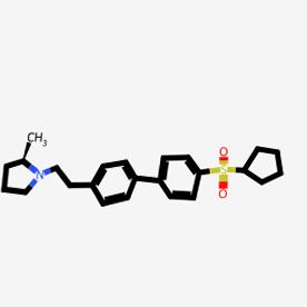 C[C@@H]1CCCN1CCc1ccc(-c2ccc(S(=O)(=O)C3CCCC3)cc2)cc1